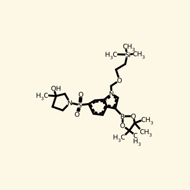 CC1(O)CCN(S(=O)(=O)c2ccc3c(B4OC(C)(C)C(C)(C)O4)cn(COCC[Si](C)(C)C)c3c2)C1